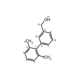 Cc1cccc(C)c1-c1c[c]cc(CO)c1